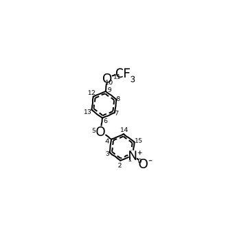 [O-][n+]1ccc(Oc2ccc(OC(F)(F)F)cc2)cc1